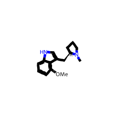 COc1cccc2[nH]cc(C[C@H]3CCCN3C)c12